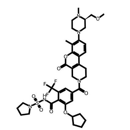 COC[C@H]1CN(c2ccc3c4c(c(=O)oc3c2C)CN(C(=O)c2cc(OC3CCCC3)c(C(=O)NS(=O)(=O)N3CCCC3)c(C(F)(F)F)c2)CC4)CCN1C